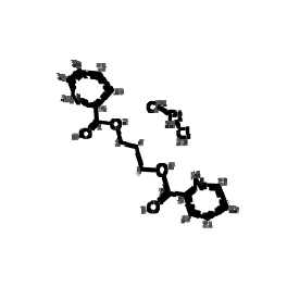 O=C(OCCCOC(=O)c1ccccn1)c1ccccn1.[Cl][Pt][Cl]